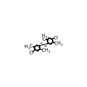 Cc1cc(SSc2cc(C)c(Cl)cc2C)c(C)cc1Cl